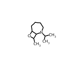 CC1OC2CCCCN(C(C)C)C12